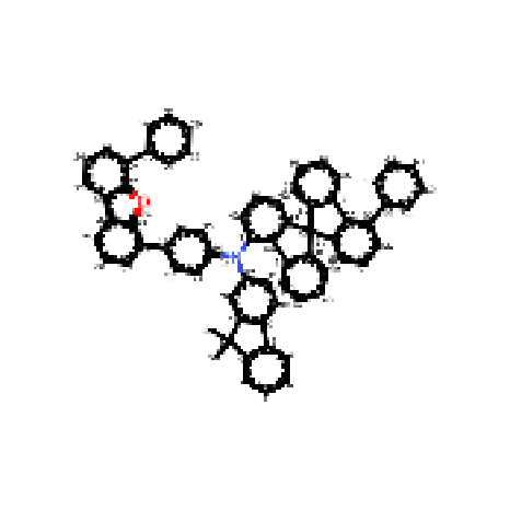 CC1(C)c2ccccc2-c2ccc(N(c3ccc(-c4cccc5c4oc4c(-c6ccccc6)cccc45)cc3)c3cccc4c3-c3ccccc3C43c4ccccc4-c4c(-c5ccccc5)cccc43)cc21